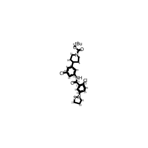 CC(C)(C)OC(=O)N1CCC(c2cc(Cl)cc(NC(=O)c3cc(N4CCCS4)ccc3Cl)c2)CC1